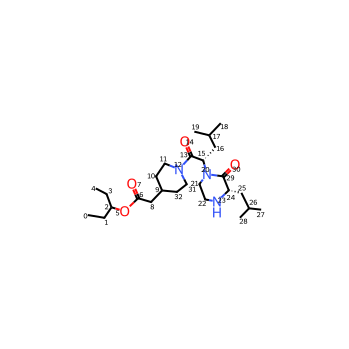 CCC(CC)OC(=O)CC1CCN(C(=O)[C@H](CC(C)C)N2CCN[C@@H](CC(C)C)C2=O)CC1